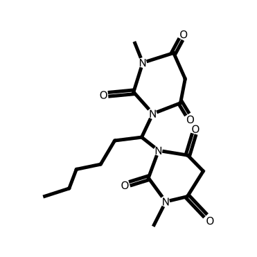 CCCCCC(N1C(=O)CC(=O)N(C)C1=O)N1C(=O)CC(=O)N(C)C1=O